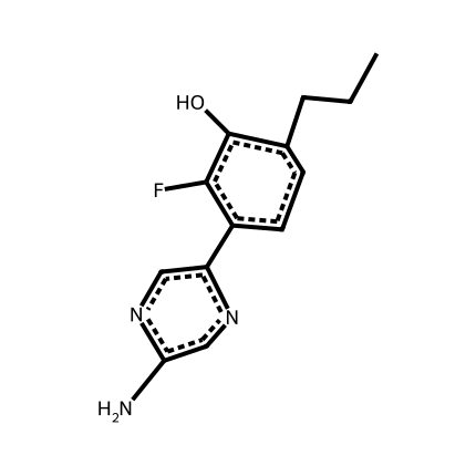 CCCc1ccc(-c2cnc(N)cn2)c(F)c1O